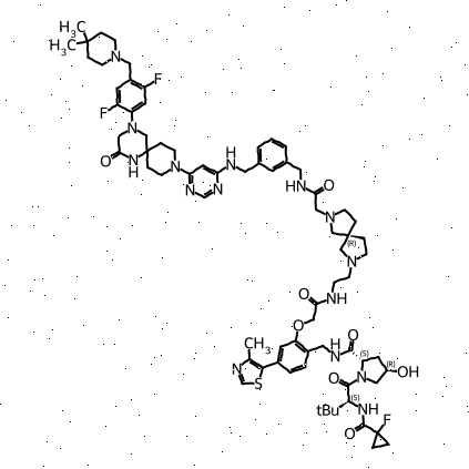 Cc1ncsc1-c1ccc(CNC(=O)[C@@H]2C[C@@H](O)CN2C(=O)[C@@H](NC(=O)C2(F)CC2)C(C)(C)C)c(OCC(=O)NCCN2CC[C@@]3(CCN(CC(=O)NCc4cccc(CNc5cc(N6CCC7(CC6)CN(c6cc(F)c(CN8CCC(C)(C)CC8)cc6F)CC(=O)N7)ncn5)c4)C3)C2)c1